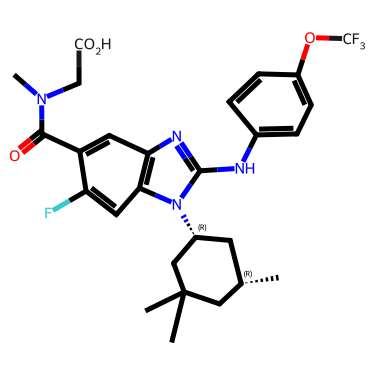 C[C@H]1C[C@@H](n2c(Nc3ccc(OC(F)(F)F)cc3)nc3cc(C(=O)N(C)CC(=O)O)c(F)cc32)CC(C)(C)C1